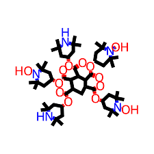 CC1(C)CC(OC(=O)C2CC(C(=O)OC3CC(C)(C)N(O)C(C)(C)C3)C(C(=O)OC3CC(C)(C)N(O)C(C)(C)C3)C(C(=O)OC3CC(C)(C)NC(C)(C)C3)C2C(=O)OC2CC(C)(C)N(O)C(C)(C)C2)CC(C)(C)N1